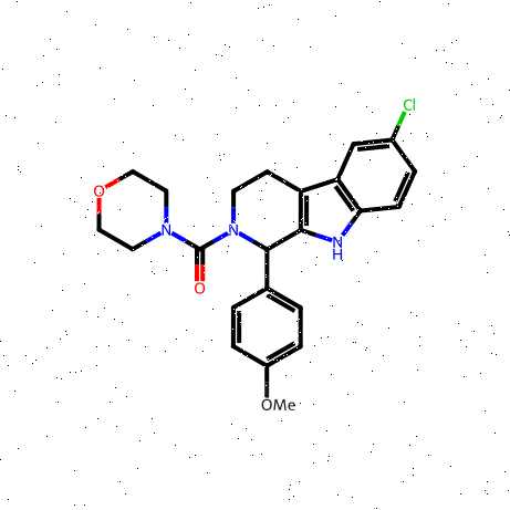 COc1ccc(C2c3[nH]c4ccc(Cl)cc4c3CCN2C(=O)N2CCOCC2)cc1